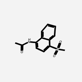 CC(=O)Nc1ccc(S(C)(=O)=O)c2ccccc12